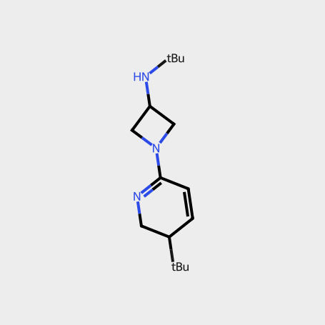 CC(C)(C)NC1CN(C2=NCC(C(C)(C)C)C=C2)C1